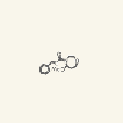 COC1CCOCCN1C(=O)OCc1ccccc1